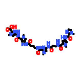 Cn1cc(NC(=O)c2nccn2C)cc1C(=O)NCCC(=O)Nc1cn(C)c(C(=O)NCCCC(=O)Nc2cc(C(=O)Nc3cn(C)c(C(=O)O)n3)n(C)c2)n1